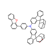 c1ccc2c(c1)-c1cc(N(c3ccc(-c4cccc5c4oc4ccccc45)cc3)c3ccc4c(c3)C3(c5ccccc5-4)C4CCC5CC(C4)CC3C5)ccc1C21C2CCC3CC(C2)CC1C3